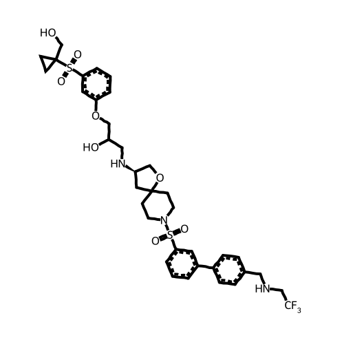 O=S(=O)(c1cccc(-c2ccc(CNCC(F)(F)F)cc2)c1)N1CCC2(CC1)C[C@@H](NCC(O)COc1cccc(S(=O)(=O)C3(CO)CC3)c1)CO2